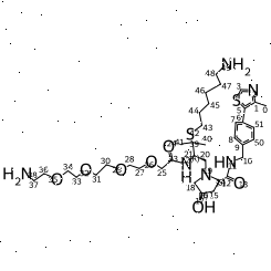 Cc1ncsc1-c1ccc(CNC(=O)[C@@H]2C[C@@H](O)CN2C[C@@H](NC(=O)COCCOCCOCCOCCN)C(C)(C)SCCCCCCN)cc1